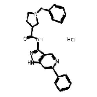 Cl.O=C(Nc1n[nH]c2cc(-c3ccccc3)ncc12)C1CCN(Cc2ccccc2)C1